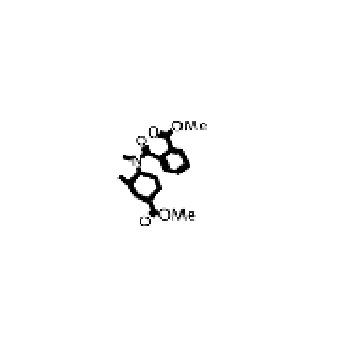 COC(=O)c1ccccc1C(=O)N(C)C1CCC(C(=O)OC)CC1C